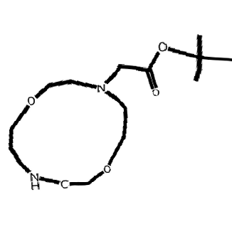 CC(C)(C)OC(=O)CN1CCOCCNCCOCC1